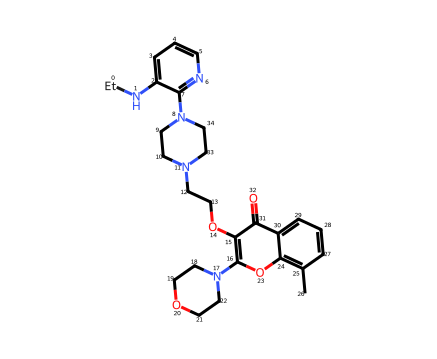 CCNc1cccnc1N1CCN(CCOc2c(N3CCOCC3)oc3c(C)cccc3c2=O)CC1